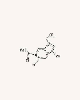 COC(=O)c1cc2c(cc1Br)c(C#N)cn2CC(F)(F)F